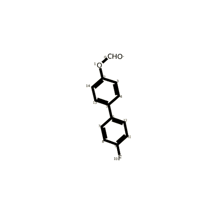 O=[C]Oc1ccc(-c2ccc(F)cc2)cc1